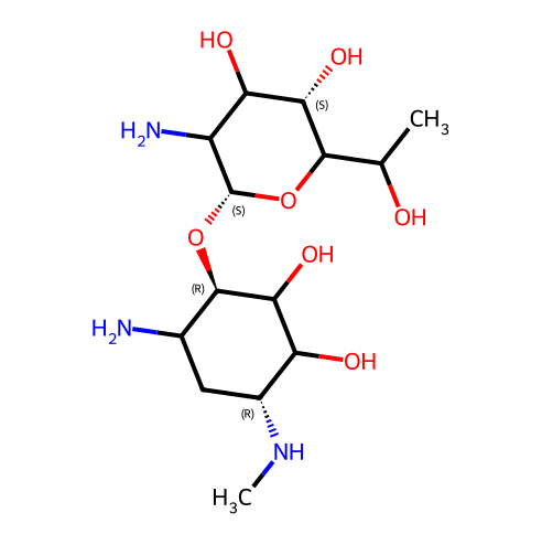 CN[C@@H]1CC(N)[C@@H](O[C@H]2OC(C(C)O)[C@@H](O)C(O)C2N)C(O)C1O